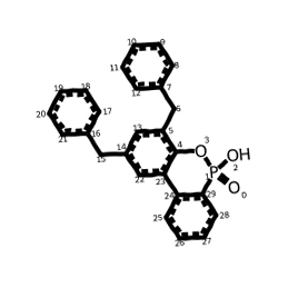 O=P1(O)Oc2c(Cc3ccccc3)cc(Cc3ccccc3)cc2-c2ccccc21